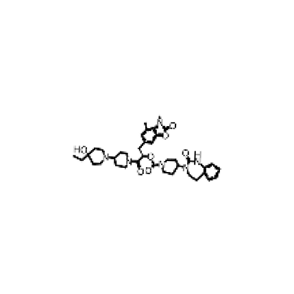 CCC1(O)CCN(C2CCN(C(=O)[C@@H](Cc3cc(C)c4c(c3)oc(=O)n4C)OC(=O)N3CCC(N4CCc5ccccc5NC4=O)CC3)CC2)CC1